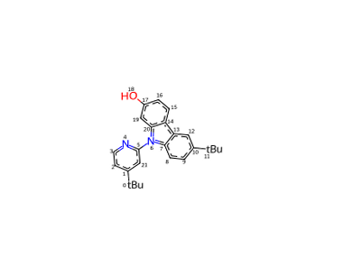 CC(C)(C)c1ccnc(-n2c3ccc(C(C)(C)C)cc3c3ccc(O)cc32)c1